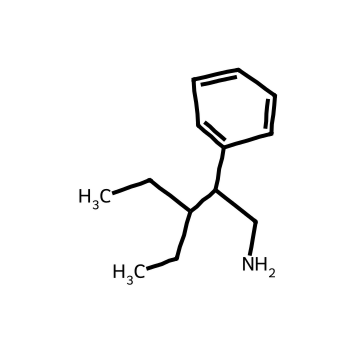 CCC(CC)C(CN)c1ccccc1